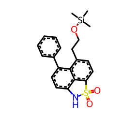 C[Si](C)(C)OCCc1ccc2c3c(ccc(-c4ccccc4)c13)NS2(=O)=O